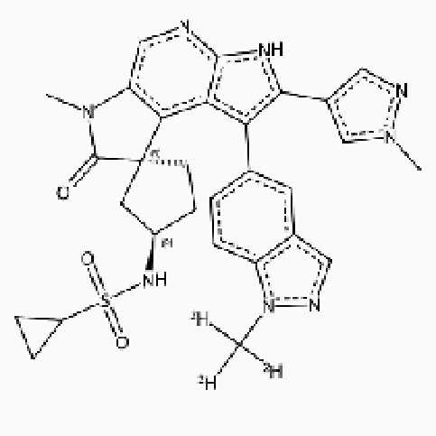 [2H]C([2H])([2H])n1ncc2cc(-c3c(-c4cnn(C)c4)[nH]c4ncc5c(c34)[C@]3(CC[C@@H](NS(=O)(=O)C4CC4)C3)C(=O)N5C)ccc21